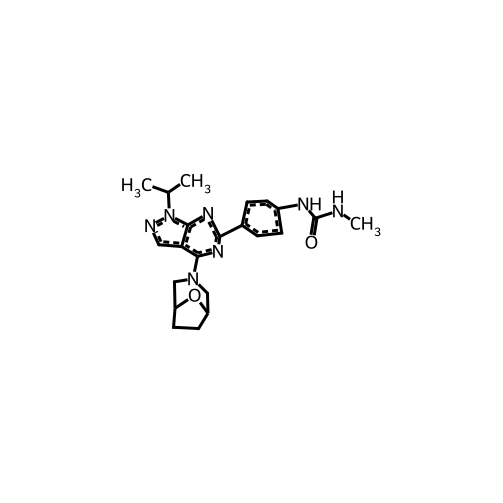 CNC(=O)Nc1ccc(-c2nc(N3CC4CCC(C3)O4)c3cnn(C(C)C)c3n2)cc1